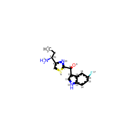 CC[C@H](N)c1csc(C(=O)c2c[nH]c3ccc(F)cc23)n1